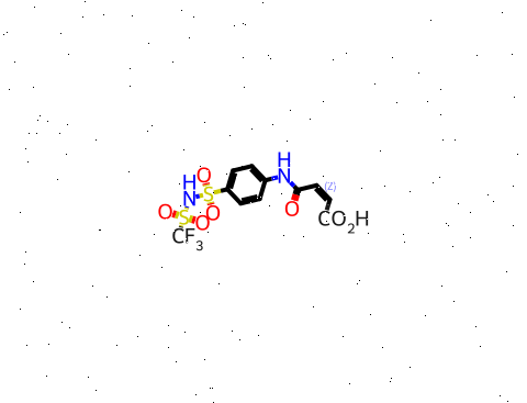 O=C(O)/C=C\C(=O)Nc1ccc(S(=O)(=O)NS(=O)(=O)C(F)(F)F)cc1